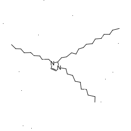 CCCCCCCCCCCCCCC1N(CCCCCCCCC)C=CN1CCCCCCCCCC